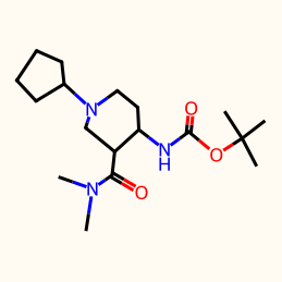 CN(C)C(=O)C1CN(C2CCCC2)CCC1NC(=O)OC(C)(C)C